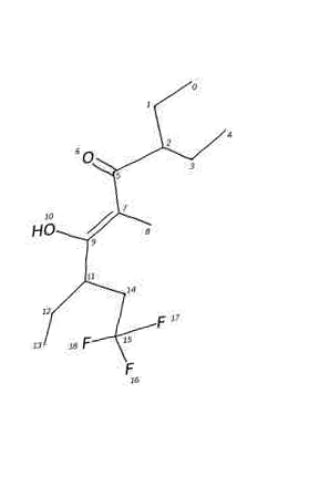 CCC(CC)C(=O)/C(C)=C(\O)C(CC)CC(F)(F)F